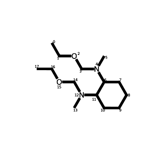 CCOCN(C)C1CCCCC1N(C)COCC